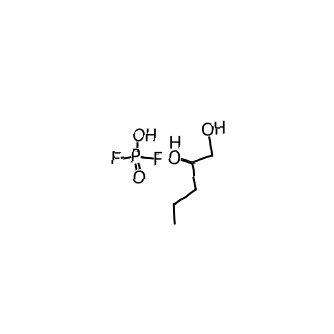 CCCC(O)CO.O=P(O)(F)F